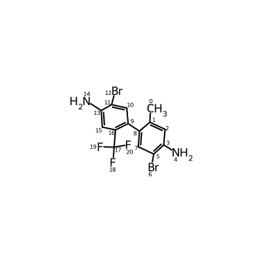 Cc1cc(N)c(Br)cc1-c1cc(Br)c(N)cc1C(F)(F)F